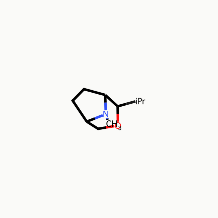 CC(C)C1OCC2CCC1N2C